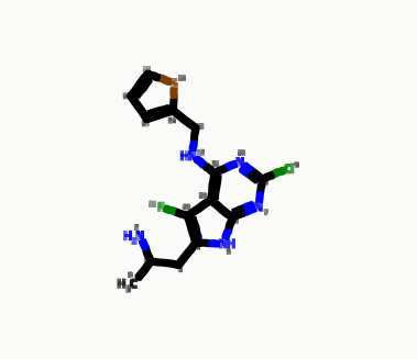 CC(N)Cc1[nH]c2nc(Cl)nc(NCc3cccs3)c2c1F